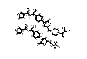 COC(=O)C(C)N1CCN(CC2CN(c3ccc(C(=N)NC(=O)c4ccoc4)cc3)C(=O)O2)CC1.CS(=O)(=O)OCC1CN(c2ccc(C(=N)NC(=O)c3ccoc3)cc2)C(=O)O1